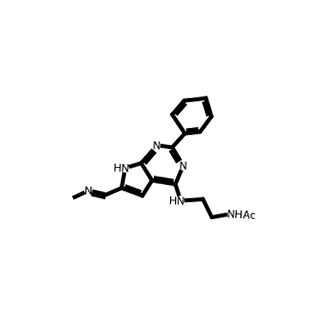 C/N=C/c1cc2c(NCCNC(C)=O)nc(-c3ccccc3)nc2[nH]1